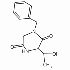 CC(O)C1NC(=O)CN(Cc2ccccc2)C1=O